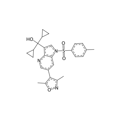 Cc1ccc(S(=O)(=O)n2cc(C(O)(C3CC3)C3CC3)c3ncc(-c4c(C)noc4C)cc32)cc1